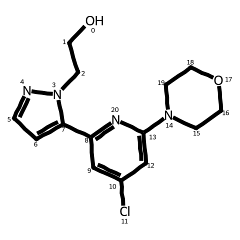 OCCn1nccc1-c1cc(Cl)cc(N2CCOCC2)n1